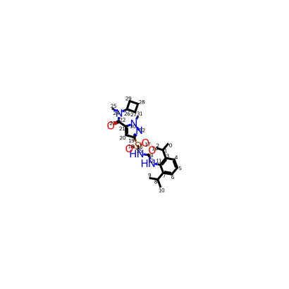 CC(C)c1cccc(C(C)C)c1NC(=O)NS(=O)(=O)c1cc(C(=O)N(C)C2CCC2)n(C)n1